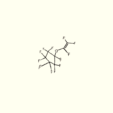 FC(F)=C(F)OC1(F)C(F)(F)C(F)(F)C(F)(F)C1(F)F